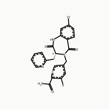 NC(=O)c1ccc(CN2C(=O)c3ccc(Cl)cc3NC(=O)[C@H]2Cc2ccccn2)cc1F